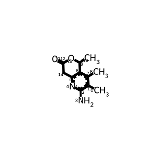 Cc1c(N)nc2c(c1C)C(C)OC(=O)C2